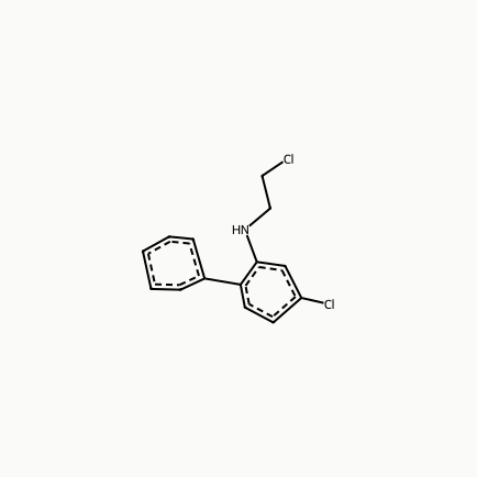 ClCCNc1cc(Cl)ccc1-c1ccccc1